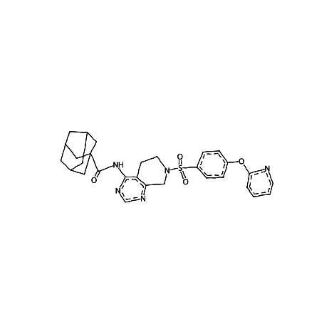 O=C(Nc1ncnc2c1CCN(S(=O)(=O)c1ccc(Oc3ccccn3)cc1)C2)C12CC3CC(CC(C3)C1)C2